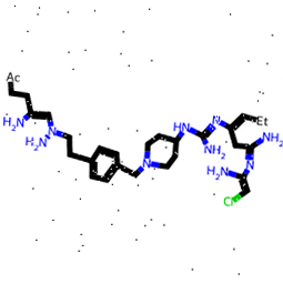 CC/C=C(C/C(N)=N\C(N)=C\Cl)/N=C(\N)NC1CCN(Cc2ccc(CCN(N)/C=C(\N)CCC(C)=O)cc2)CC1